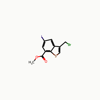 COC(=O)c1cc(I)cc2c(CBr)csc12